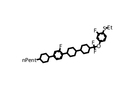 CCCCCC1CCC(c2ccc(C3CCC(C4CCC(C(F)(F)Oc5ccc(SCC)c(F)c5)CC4)CC3)c(F)c2)CC1